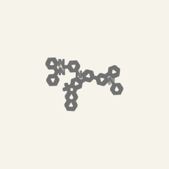 CC1(C)c2cc3ccccc3cc2-c2cc3c4cc(-c5ccc6c(c5)c5ccccc5n6C5=CCCC=C5)ccc4n(-c4cccc(-c5nc(-c6ccccc6)c6ccccc6n5)c4)c3cc21